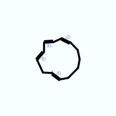 [C]1=C/CCCC\C=C/C=C/C=C/C/1